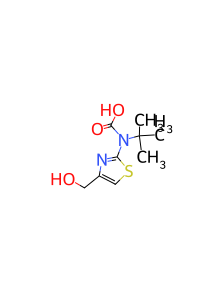 CC(C)(C)N(C(=O)O)c1nc(CO)cs1